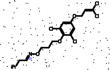 CC(C)C/C=N/OCCCOc1c(Cl)cc(OCC=C(Cl)Cl)cc1Cl